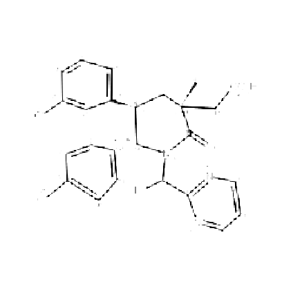 CCC(c1ncccn1)N1C(=O)[C@@](C)(CC(=O)O)C[C@H](c2cccc(Cl)c2)[C@H]1c1ccc(Cl)cc1